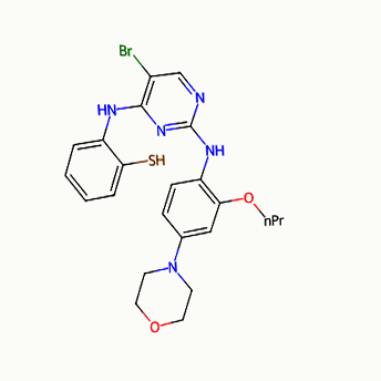 CCCOc1cc(N2CCOCC2)ccc1Nc1ncc(Br)c(Nc2ccccc2S)n1